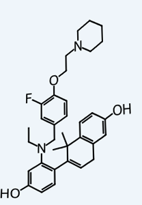 CCN(Cc1ccc(OCCN2CCCCC2)c(F)c1)c1cc(O)ccc1C1=CCc2cc(O)ccc2C1(C)C